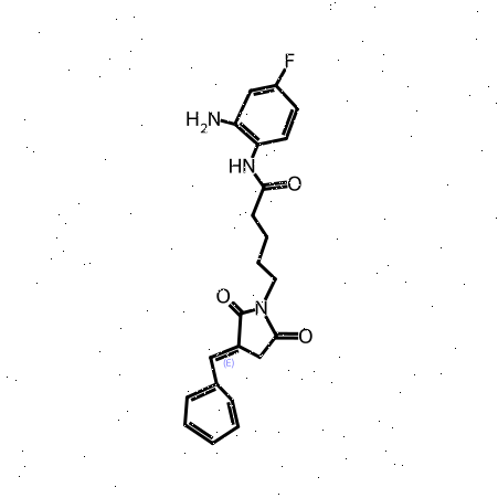 Nc1cc(F)ccc1NC(=O)CCCCN1C(=O)C/C(=C\c2ccccc2)C1=O